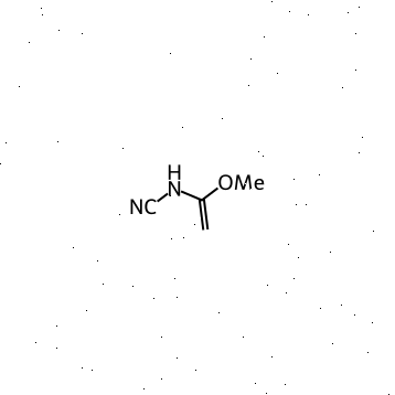 C=C(NC#N)OC